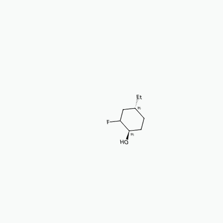 CC[C@@H]1CC[C@@H](O)C(F)C1